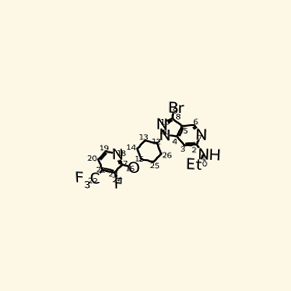 CCNc1cc2c(cn1)c(Br)nn2[C@H]1CC[C@@H](Oc2nccc(C(F)(F)F)c2F)CC1